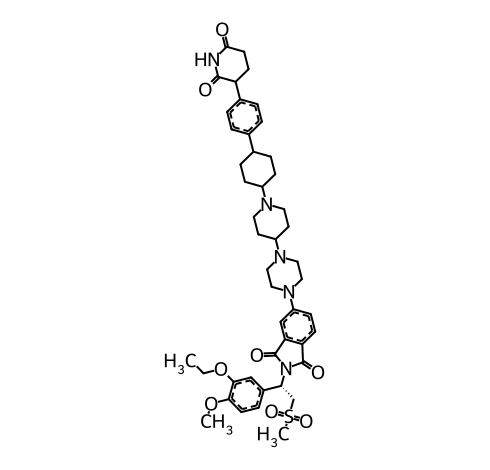 CCOc1cc([C@@H](CS(C)(=O)=O)N2C(=O)c3ccc(N4CCN(C5CCN(C6CCC(c7ccc(C8CCC(=O)NC8=O)cc7)CC6)CC5)CC4)cc3C2=O)ccc1OC